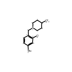 CC(C)(C)c1ccc(CN2CCC(C(F)(F)F)CC2)c(Cl)c1